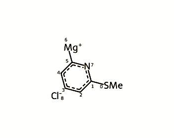 CSc1ccc[c]([Mg+])n1.[Cl-]